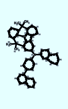 CC1(C)c2cccc3c2-n2c4c1cccc4c1cc(N(c4ccc(-c5cccc6ccccc56)cc4)c4ccc5ccccc5c4)cc(c12)C3(C)C